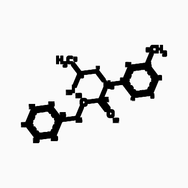 Cc1cccc(N(CC(C)I)C(=O)OCc2ccccc2)c1